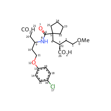 COCC[C@H](CC1(C(=O)NC(CCOc2ccc(Cl)cc2)CC(=O)O)CCCC1)C(=O)O